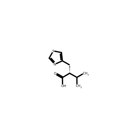 CC(C)[C@@H](Cc1cscn1)C(=O)O